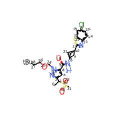 CC(c1cc(C(=O)NC23CC(c4nc5ccc(Cl)cc5s4)(C2)C3)n(COCCC(C)(C)C)n1)S(C)(=O)=O